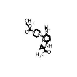 CCOC(=O)N1CCN(c2nc(NC3(C(C)=O)CC3)ccc2[N+]#N)CC1